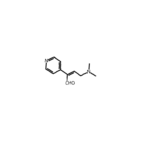 CN(C)CC=C(C=O)c1ccncc1